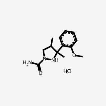 COc1ccccc1C1(C)NN(C(N)=O)CC1C.Cl